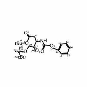 CC(C)(C)OC(=O)CC(NC(=O)OCc1ccccc1)C(O)CO[Si](C)(C)C(C)(C)C